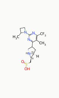 Cc1c(C2C[C@H]3[C@@H](CS(=O)O)[N@]3C2)nc(N2CCC2C)nc1C(F)(F)F